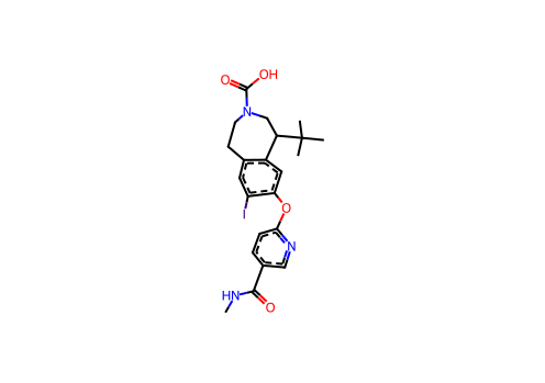 CNC(=O)c1ccc(Oc2cc3c(cc2I)CCN(C(=O)O)CC3C(C)(C)C)nc1